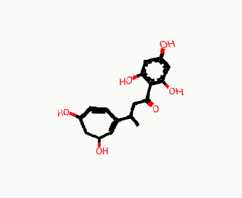 CC(CC(=O)c1c(O)cc(O)cc1O)C1=CC(O)CC(O)C=C1